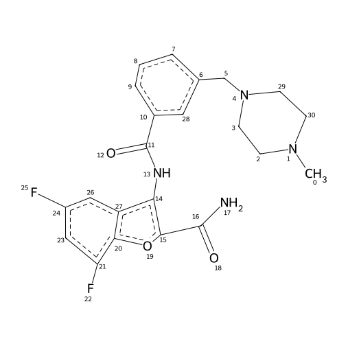 CN1CCN(Cc2cccc(C(=O)Nc3c(C(N)=O)oc4c(F)cc(F)cc34)c2)CC1